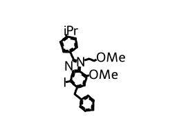 COCCn1c(-c2ccc(C(C)C)cc2)nc2c(I)c(Cc3ccccc3)cc(OC)c21